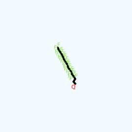 COCCCC(F)(F)C(F)(F)C(F)(F)C(F)(F)C(F)(F)C(F)(F)C(F)(F)C(F)(F)C(F)(F)C(F)(F)C(F)(F)C(F)(F)C(F)F